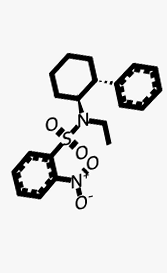 CCN([C@H]1CCCC[C@@H]1c1ccccc1)S(=O)(=O)c1ccccc1[N+](=O)[O-]